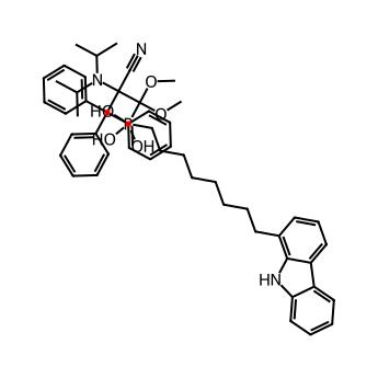 COC(OC)(C(C#N)(N(C(C)C)C(C)C)C(c1ccccc1)(c1ccccc1)c1ccccc1)P(O)(O)(O)CCCCCCCCc1cccc2c1[nH]c1ccccc12